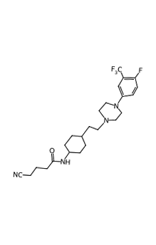 N#CCCCC(=O)NC1CCC(CCN2CCN(c3ccc(F)c(C(F)(F)F)c3)CC2)CC1